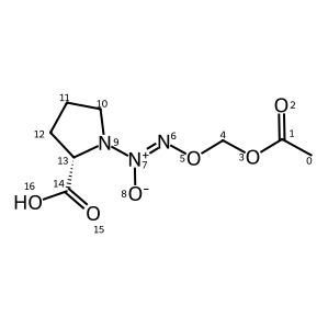 CC(=O)OCON=[N+]([O-])N1CCC[C@H]1C(=O)O